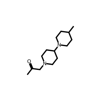 CC(=O)CN1CCC(N2CCC(C)CC2)CC1